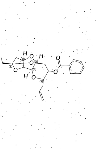 C=CC[C@@H]1O[C@H]2C3O[C@]4(CC)C[C@H]3O[C@H]2C(O4)C1OC(=O)c1ccccc1